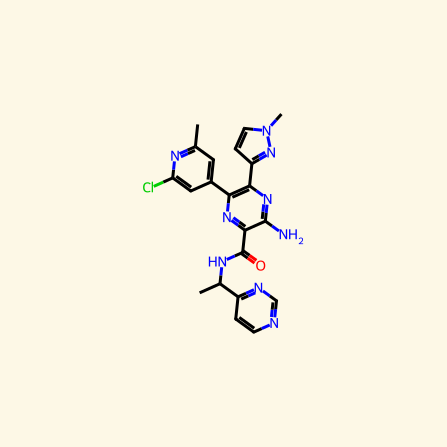 Cc1cc(-c2nc(C(=O)NC(C)c3ccncn3)c(N)nc2-c2ccn(C)n2)cc(Cl)n1